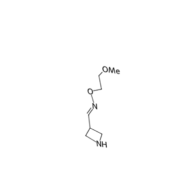 COCCON=CC1CNC1